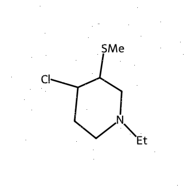 CCN1CCC(Cl)C(SC)C1